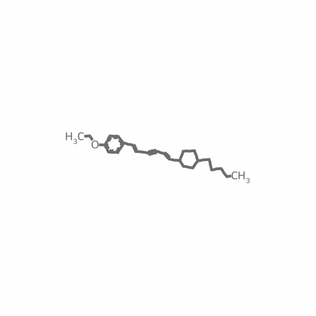 CCCCCC1CCC(C=CC#CC=Cc2ccc(OCC)cc2)CC1